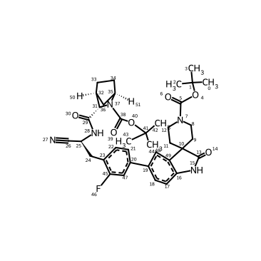 CC(C)(C)OC(=O)N1CCC2(CC1)C(=O)Nc1ccc(-c3ccc(C[C@@H](C#N)NC(=O)[C@@H]4[C@H]5CC[C@H](C5)N4C(=O)OC(C)(C)C)c(F)c3)cc12